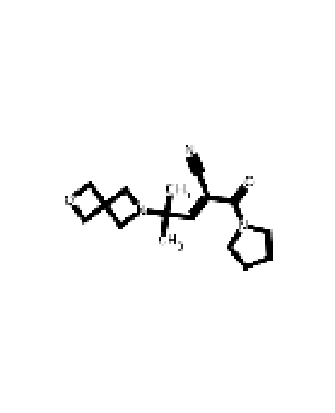 CC(C)(/C=C(\C#N)C(=O)N1CCCC1)N1CC2(COC2)C1